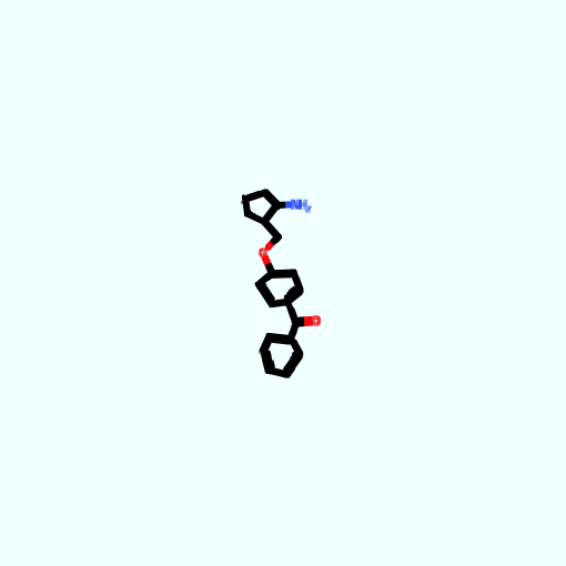 NC1CCCC1COc1ccc(C(=O)c2ccccc2)cc1